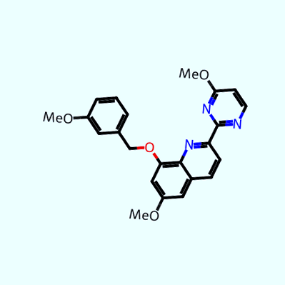 COc1cccc(COc2cc(OC)cc3ccc(-c4nccc(OC)n4)nc23)c1